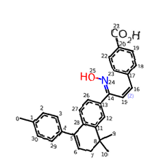 Cc1ccc(C2=CCC(C)(C)c3cc(C(/C=C\c4ccc(C(=O)O)cc4)=NO)ccc32)cc1